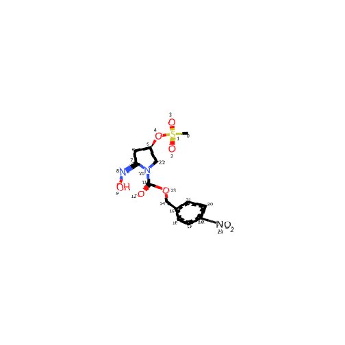 CS(=O)(=O)O[C@@H]1C/C(=N/O)N(C(=O)OCc2ccc([N+](=O)[O-])cc2)C1